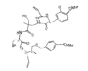 C=CC[C@H](OC(=O)[C@H](CC(C)(C)C)NC(=O)C(C)(CO)CNC(=O)[C@@H](Cc1ccc(OC)c(Cl)c1)NC(=O)C=C)[C@H](C)COCc1ccc(OC)cc1